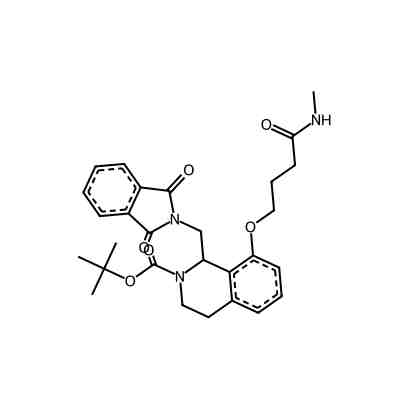 CNC(=O)CCCOc1cccc2c1C(CN1C(=O)c3ccccc3C1=O)N(C(=O)OC(C)(C)C)CC2